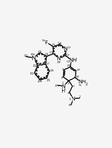 CNC1(CCN(C)C)C=CC(Nc2ncc(F)c(-c3cn(C)c4ccccc34)n2)=CC1N